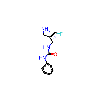 NC/C(=C/F)CNC(=O)Nc1ccccc1